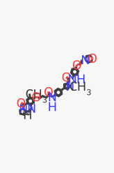 Cc1cc2c(cc1OCCCC(=O)Nc1ccc(-c3cc(C(=O)Nc4ccc(OCCN5CCOCC5)cc4)n(C)c3)cc1)N=C[C@@H]1CCCN1C2=O